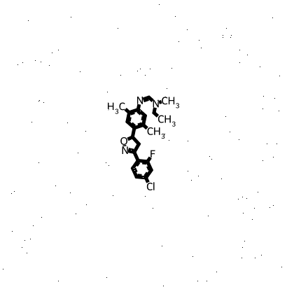 CCN(C)/C=N\c1cc(C)c(C2CC(c3ccc(Cl)cc3F)=NO2)cc1C